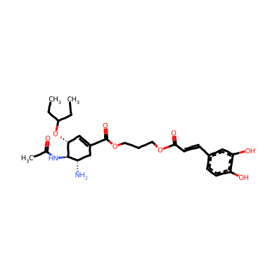 CCC(CC)O[C@@H]1C=C(C(=O)OCCCOC(=O)/C=C/c2ccc(O)c(O)c2)C[C@H](N)[C@H]1NC(C)=O